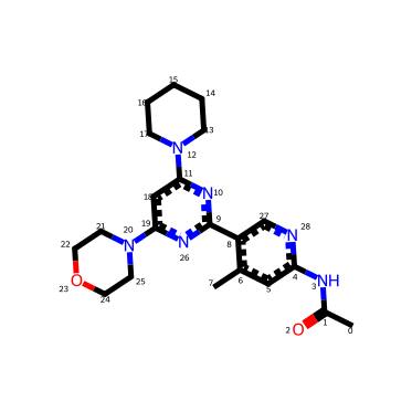 CC(=O)Nc1cc(C)c(-c2nc(N3CCCCC3)cc(N3CCOCC3)n2)cn1